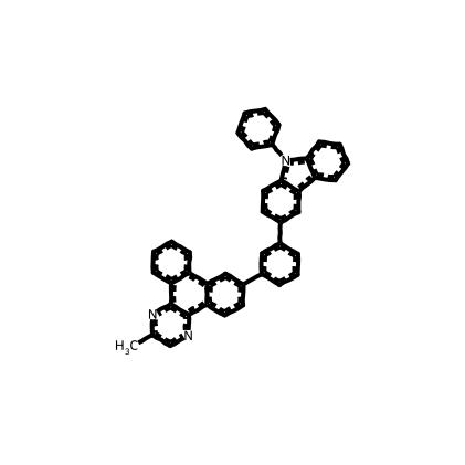 Cc1cnc2c3ccc(-c4cccc(-c5ccc6c(c5)c5ccccc5n6-c5ccccc5)c4)cc3c3ccccc3c2n1